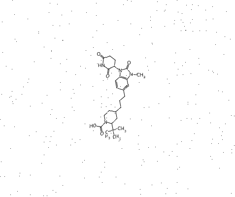 Cn1c(=O)n(C2CCC(=O)NC2=O)c2ccc(CCCC3CCN(C(=O)O)C(C(C)(C)C)C3)cc21